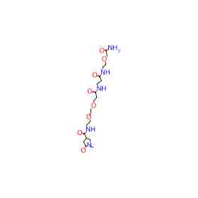 CN1CC(C(=O)NCCOCCOCCC(=O)NCCC(=O)NCCOCC(N)=O)CC1=O